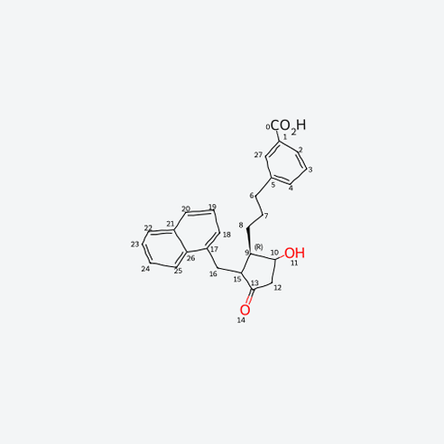 O=C(O)c1cccc(CCC[C@H]2C(O)CC(=O)C2Cc2cccc3ccccc23)c1